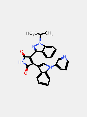 CC(C(=O)O)n1nc(C2=C(c3cn(-c4cccnc4)c4ccccc34)C(=O)NC2=O)c2ccccc21